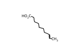 CC=CCCCCCCC(=O)O